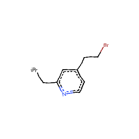 C[C](C)Cc1cc(CCBr)ccn1